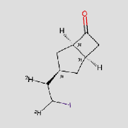 [2H]C(I)C([2H])[C@@H]1C[C@@H]2CC(=O)[C@@H]2C1